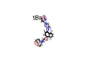 CC(C)(C)c1cc(N2CCN(c3ccc(OCCN4CCOCC4)c4ccccc34)C2)no1